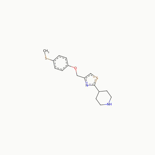 CSc1ccc(OCc2csc(C3CCNCC3)n2)cc1